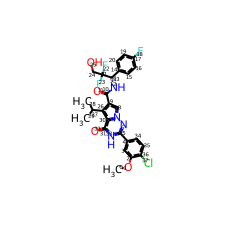 COc1cc(-c2nn3cc(C(=O)N[C@@H](c4ccc(F)cc4)C(F)(F)CO)c(C(C)C)c3c(=O)[nH]2)ccc1Cl